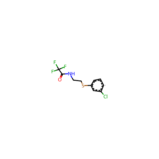 O=C(NCCSc1cc[c]c(Cl)c1)C(F)(F)F